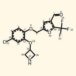 O=Cc1cc(COc2ccc(Cl)cc2OC2CNC2)oc1C(F)(F)F